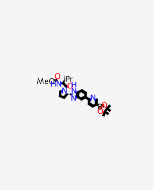 COC(=O)N[C@H](C(=O)N1CCC[C@H]1c1nc2cc(-c3ccc(B4OC(C)(C)C(C)(C)O4)cn3)ccc2[nH]1)C(C)C